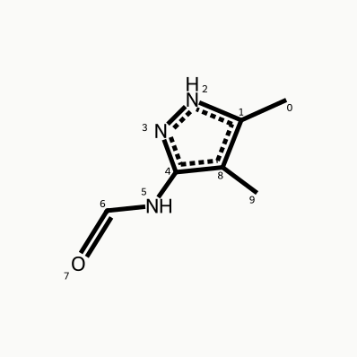 Cc1[nH]nc(NC=O)c1C